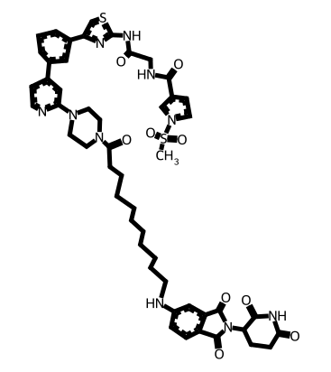 CS(=O)(=O)n1ccc(C(=O)NCC(=O)Nc2nc(-c3cccc(-c4ccnc(N5CCN(C(=O)CCCCCCCCCCNc6ccc7c(c6)C(=O)N(C6CCC(=O)NC6=O)C7=O)CC5)c4)c3)cs2)c1